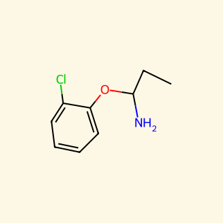 CCC(N)Oc1ccccc1Cl